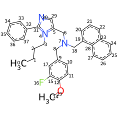 CCCCn1c(CN(Cc2ccc(OC)c(F)c2)Cc2cccc3ccccc23)cnc1-c1ccccc1